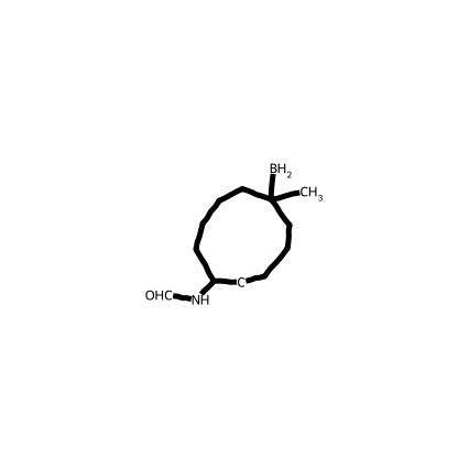 BC1(C)CCCCC(NC=O)CCCC1